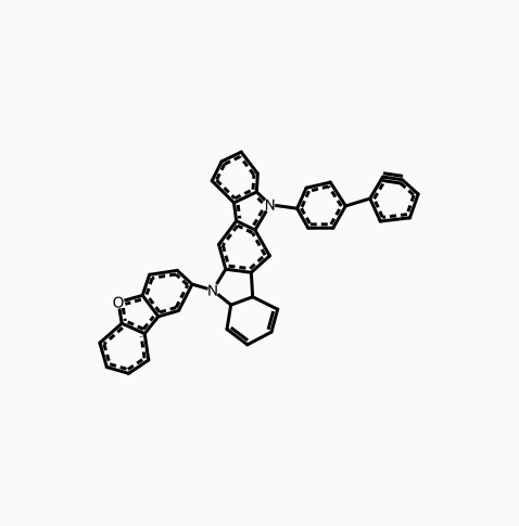 c1cccc(-c2ccc(-n3c4ccccc4c4cc5c(cc43)C3C=CC=CC3N5c3ccc4oc5ccccc5c4c3)cc2)c#1